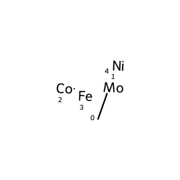 [CH3][Mo].[Co].[Fe].[Ni]